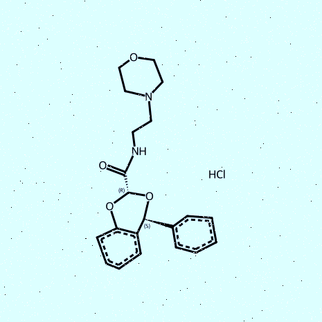 Cl.O=C(NCCN1CCOCC1)[C@H]1Oc2ccccc2[C@H](c2ccccc2)O1